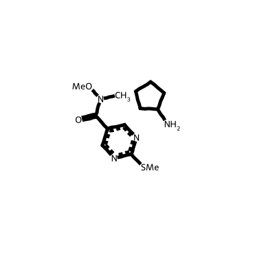 CON(C)C(=O)c1cnc(SC)nc1.NC1CCCC1